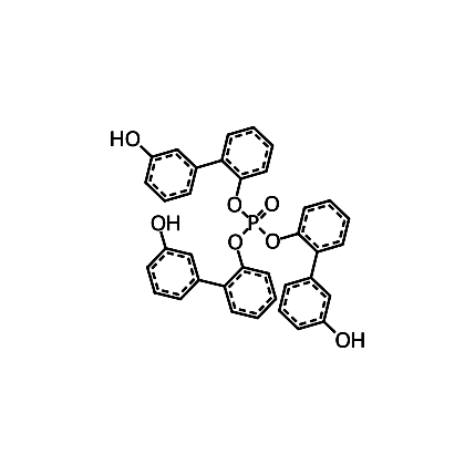 O=P(Oc1ccccc1-c1cccc(O)c1)(Oc1ccccc1-c1cccc(O)c1)Oc1ccccc1-c1cccc(O)c1